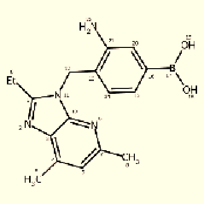 CCc1nc2c(C)cc(C)nc2n1Cc1ccc(B(O)O)cc1N